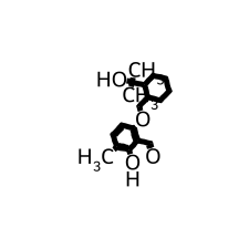 Cc1ccc(OCC2CCCCC2C(C)(C)O)c(C=O)c1O